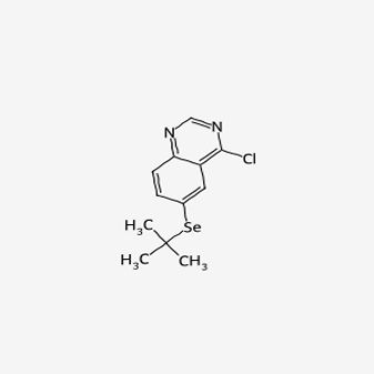 CC(C)(C)[Se]c1ccc2ncnc(Cl)c2c1